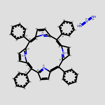 C1=CC2=C(c3ccccc3)C3=NC(=C(c4ccccc4)C4=NC(=C(c5ccccc5)C5=NC(=C(c6ccccc6)C1=N2)C=C5)C=C4)C=C3.N=[N+]=N